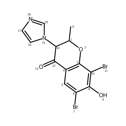 CC1Oc2c(cc(Br)c(O)c2Br)C(=O)C1n1ccnc1